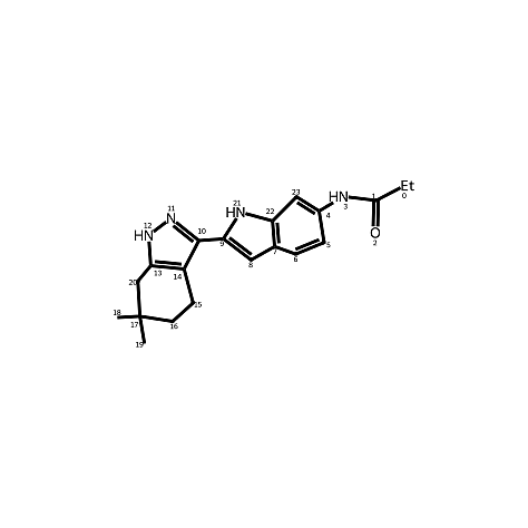 CCC(=O)Nc1ccc2cc(-c3n[nH]c4c3CCC(C)(C)C4)[nH]c2c1